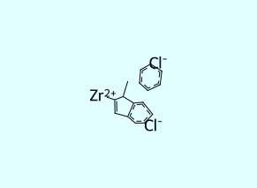 CC1[C]([Zr+2])=Cc2ccccc21.[Cl-].[Cl-].c1ccccc1